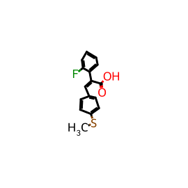 CSc1ccc(C=C(C(=O)O)c2ccccc2F)cc1